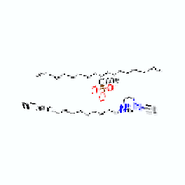 CCCCCCCCCCCCCCCCC.CCCCCCCCCCCCCCCCCCC[N+]1=CN(CC)CC1.COS(=O)(=O)[O-]